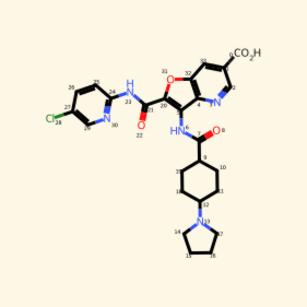 O=C(O)c1cnc2c(NC(=O)C3CCC(N4CCCC4)CC3)c(C(=O)Nc3ccc(Cl)cn3)oc2c1